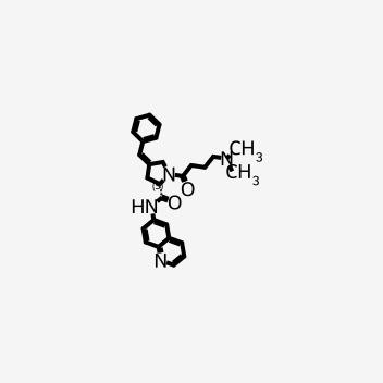 CN(C)CCCC(=O)N1CC(=Cc2ccccc2)C[C@H]1C(=O)Nc1ccc2ncccc2c1